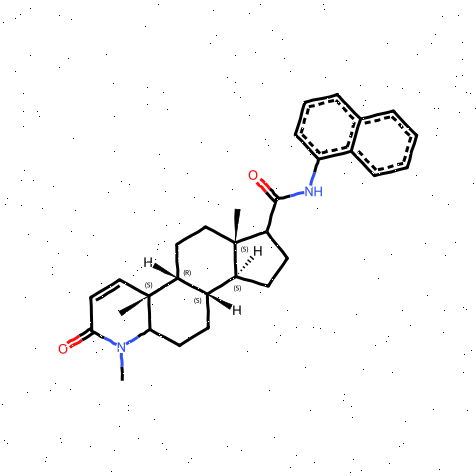 CN1C(=O)C=C[C@@]2(C)C1CC[C@@H]1[C@H]2CC[C@]2(C)C(C(=O)Nc3cccc4ccccc34)CC[C@@H]12